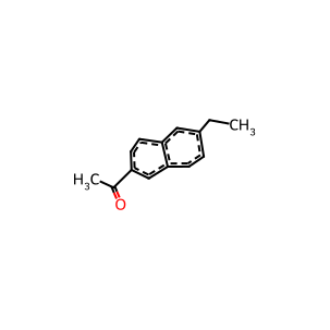 CCc1ccc2cc(C(C)=O)ccc2c1